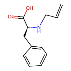 C=CCN[C@@H](Cc1ccccc1)C(=O)O